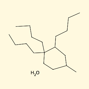 CCCCC1CC(C)CCC1(CCCC)CCCC.O